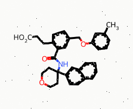 Cc1cccc(OCc2ccc(CCC(=O)O)c(C(=O)NC3(c4ccc5ccccc5c4)CCOCC3)c2)c1